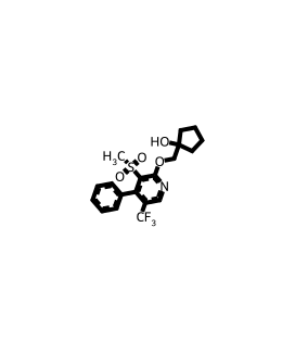 CS(=O)(=O)c1c(OCC2(O)CCCC2)ncc(C(F)(F)F)c1-c1ccccc1